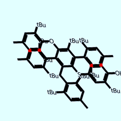 Cc1cc(C(C)(C)C)c(Cc2c(Sc3cc(C(C)(C)C)c(O)cc3C)c(-c3c(C(C)(C)C)cc(C)cc3C(C)(C)C)c(C(C)(C)C)c(Oc3c(C(C)(C)C)cc(C)cc3C(C)(C)C)c2-c2c(C(C)(C)C)cc(C)cc2C(C)(C)C)c(C(C)(C)C)c1